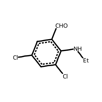 CCNc1c(Cl)cc(Cl)cc1C=O